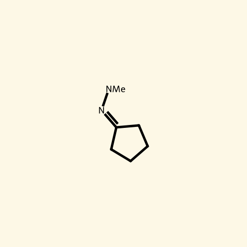 CNN=C1CCCC1